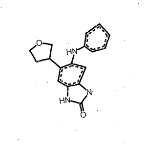 O=C1[N]c2cc(Nc3ccccc3)c(C3CCOC3)cc2N1